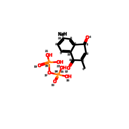 CC1=CC(=O)c2ccccc2C1=O.O=P(O)(O)OP(=O)(O)O.[NaH]